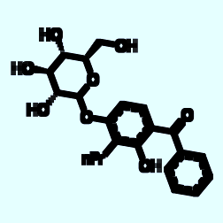 CCCc1c(OC2O[C@H](CO)[C@@H](O)[C@H](O)[C@H]2O)ccc(C(=O)c2ccccc2)c1O